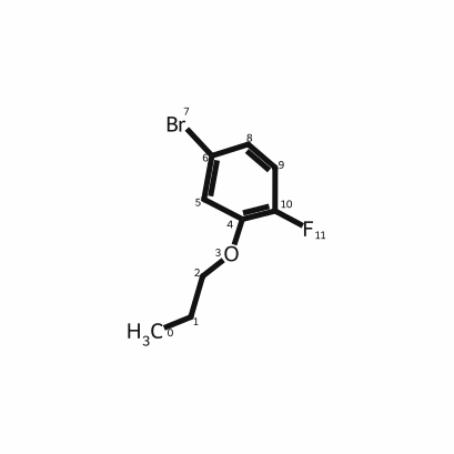 CCCOc1cc(Br)ccc1F